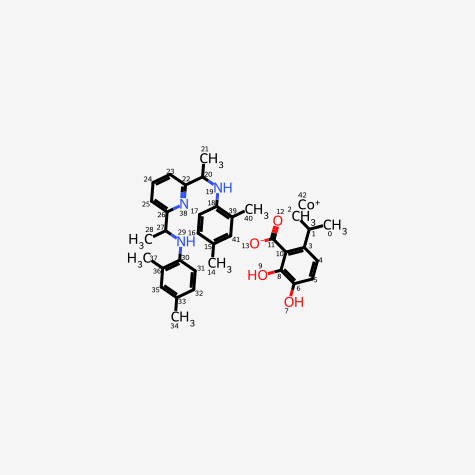 CC(C)c1ccc(O)c(O)c1C(=O)[O-].Cc1ccc(NC(C)c2cccc(C(C)Nc3ccc(C)cc3C)n2)c(C)c1.[Co+]